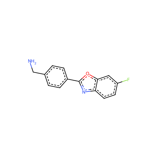 NCc1ccc(-c2nc3ccc(F)cc3o2)cc1